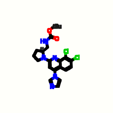 CC(C)(C)OC(=O)NC[C@@H]1CCCN1c1cc(-n2ccnc2)c2ccc(Cl)c(Cl)c2n1